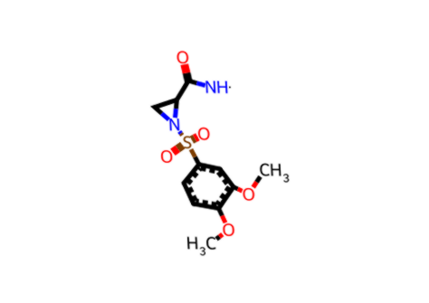 COc1ccc(S(=O)(=O)N2CC2C([NH])=O)cc1OC